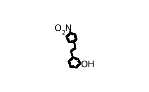 O=[N+]([O-])c1ccc(/C=C/c2cccc(O)c2)cc1